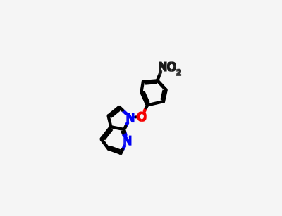 O=[N+]([O-])c1ccc(On2ccc3cccnc32)cc1